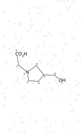 O=C(O)CN1CCC(CO)C1